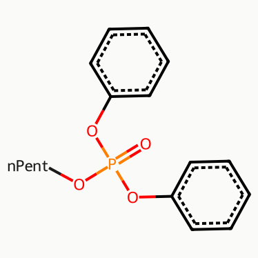 CCCCCOP(=O)(Oc1ccccc1)Oc1ccccc1